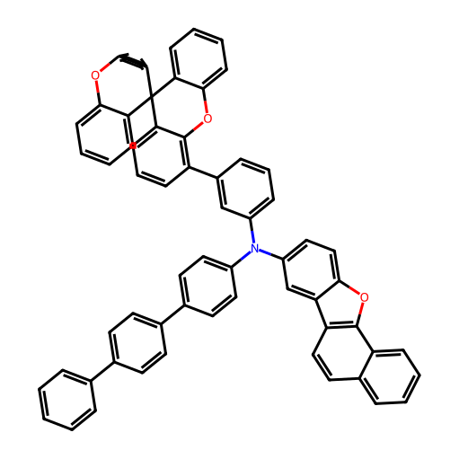 c1ccc(-c2ccc(-c3ccc(N(c4cccc(-c5cccc6c5Oc5ccccc5C65c6ccccc6Oc6ccccc65)c4)c4ccc5oc6c7ccccc7ccc6c5c4)cc3)cc2)cc1